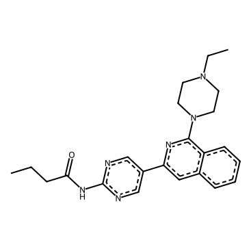 CCCC(=O)Nc1ncc(-c2cc3ccccc3c(N3CCN(CC)CC3)n2)cn1